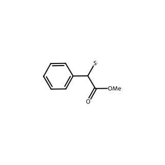 COC(=O)C([S])c1ccccc1